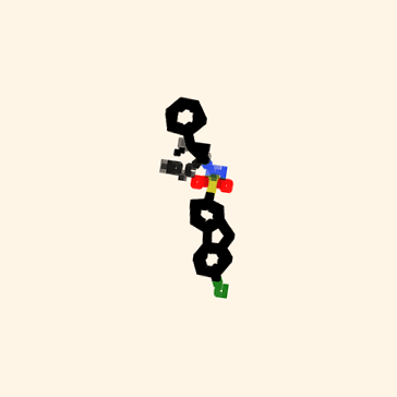 C[C@]1(c2ccccc2)C[C@@]1(NS(=O)(=O)c1ccc2c(c1)Cc1cc(Cl)ccc1-2)C(=O)O